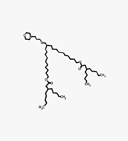 CCCCCC(CCCCC)CC(=O)OCCCCCCCCCCC(CCCCCCCCCCOC(=O)CC(CCCCC)CCCCC)COCCCN1CCOCC1